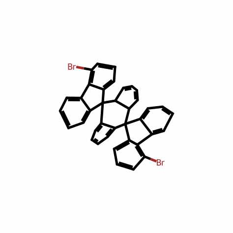 Brc1cccc2c1-c1ccccc1C21c2ccccc2C2(c3ccccc3-c3c(Br)cccc32)C2C=CC=CC21